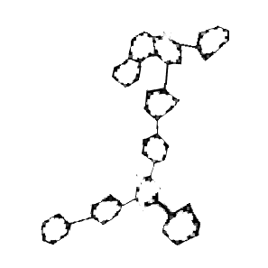 c1ccc(-c2ccc(-c3nc(-c4ccccc4)nc(-c4ccc(-c5ccc(-c6cc(-c7ccccc7)nc7ccc8ccccc8c67)cc5)cc4)n3)cc2)cc1